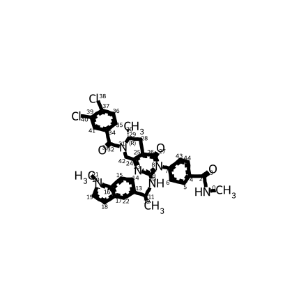 CNC(=O)c1ccc(-n2c(NC(C)c3ccc4c(ccn4C)c3)nc3c(c2=O)C[C@@H](C)N(C(=O)c2ccc(Cl)c(Cl)c2)C3)cc1